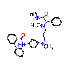 CCCNC(=O)C(c1ccccc1)N(C)CCCN(C)c1ccc(NC(=O)c2ccccc2-c2ccccc2)cc1